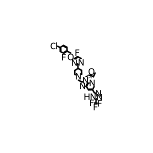 Fc1cc(Cl)ccc1COc1nc(C2CCN(Cc3nc4cc(-c5nnc(C(F)(F)F)[nH]5)cnc4n3C[C@@H]3CCO3)CC2)ncc1F